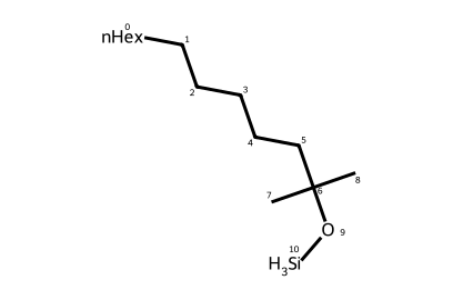 CCCCCCCCCCCC(C)(C)O[SiH3]